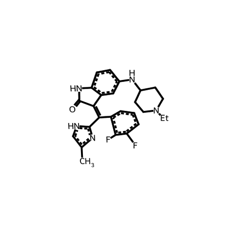 CCN1CCC(Nc2ccc3c(c2)/C(=C(/c2nc(C)c[nH]2)c2cccc(F)c2F)C(=O)N3)CC1